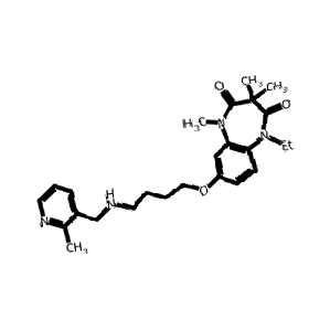 CCN1C(=O)C(C)(C)C(=O)N(C)c2cc(OCCCCNCc3cccnc3C)ccc21